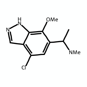 CNC(C)c1cc(Cl)c2cn[nH]c2c1OC